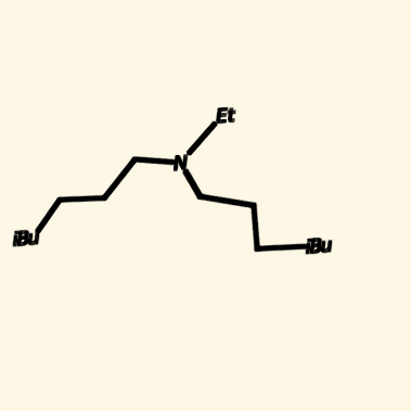 CCC(C)CCCN(CC)CCCC(C)CC